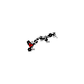 Cc1ncsc1-c1ccc(CNC(=O)[C@@H]2C[C@@H](O)CN2C(O)C(c2cc(OCCN3CCN(CCCc4cc(N5C6CCC5CN(c5cc(-c7ccccc7O)nnc5N)C6)ccn4)CC3)no2)C(C)C)cc1